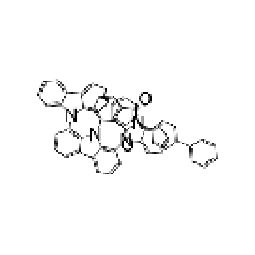 O=C1c2cccc(-n3c4c(-n5c6ccccc6c6ccccc65)cccc4c4cccc(-n5c6ccccc6c6ccccc65)c43)c2C(=O)N1c1ccc(-c2ccccc2)cc1